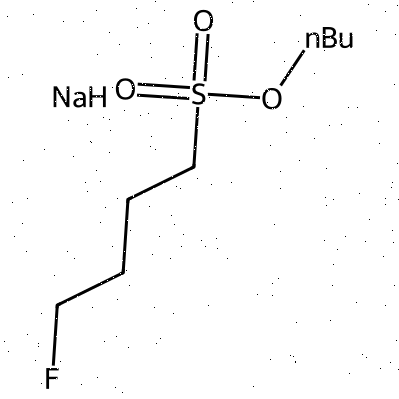 CCCCOS(=O)(=O)CCCCF.[NaH]